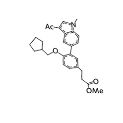 COC(=O)CCc1ccc(OCC2CCCC2)c(-c2ccc3c(c2)c(C(C)=O)cn3C)c1